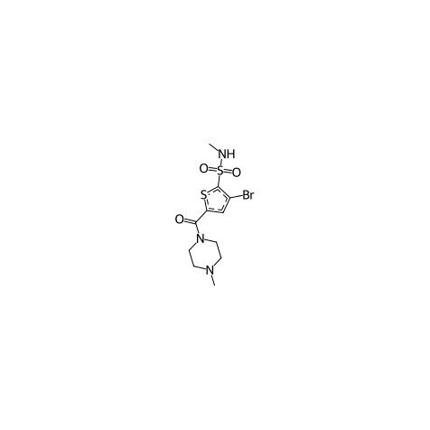 CNS(=O)(=O)c1sc(C(=O)N2CCN(C)CC2)cc1Br